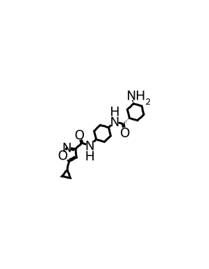 N[C@@H]1CCC[C@H](C(=O)NC2CCC(NC(=O)c3cc(C4CC4)on3)CC2)C1